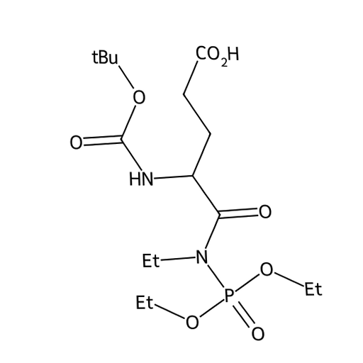 CCOP(=O)(OCC)N(CC)C(=O)C(CCC(=O)O)NC(=O)OC(C)(C)C